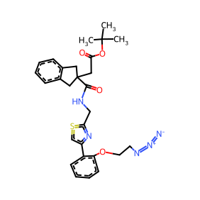 CC(C)(C)OC(=O)CC1(C(=O)NCc2nc(-c3ccccc3OCCN=[N+]=[N-])cs2)Cc2ccccc2C1